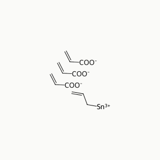 C=CC(=O)[O-].C=CC(=O)[O-].C=CC(=O)[O-].C=C[CH2][Sn+3]